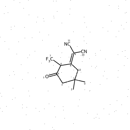 CC1(C)CC(=O)C(C(F)(F)F)C(=C(C#N)C#N)C1